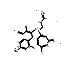 C=C/C(C)=C(/C(C)=O)[C@H](C1=CC(C)=CC(=C)C=C1OCCC=N)c1ccc(C#N)cc1C